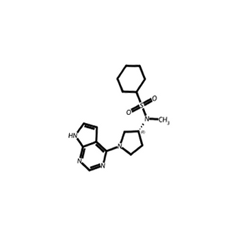 CN([C@@H]1CCN(c2ncnc3[nH]ccc23)C1)S(=O)(=O)C1CCCCC1